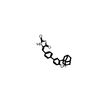 O=C1NC(=Cc2ccc(-c3ccc(O)c(C45CC6CC(CC(C6)C4)C5)c3)cc2)C(=O)S1